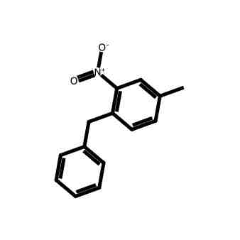 Cc1ccc(Cc2ccccc2)c([N+](=O)[O-])c1